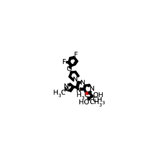 Cn1cc(-c2nc3cc([C@@](C)(O)C(C)(C)O)ncc3nc2N2CCC(Oc3ccc(F)cc3F)CC2)cn1